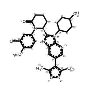 COc1ccc(N2C(=O)CCC[C@H]2c2nc3cc(-c4c(C)noc4C)cnc3n2C2CCC(O)CC2)cc1Cl